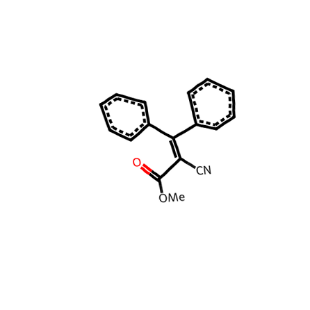 COC(=O)C(C#N)=C(c1ccccc1)c1ccccc1